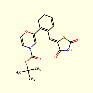 CC(C)(C)OC(=O)N1C=COC(C2=C(C=C3SC(=O)NC3=O)C=CCC2)=C1